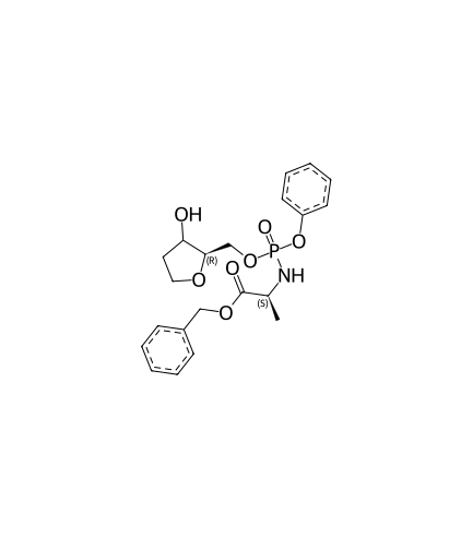 C[C@H](NP(=O)(OC[C@H]1OCCC1O)Oc1ccccc1)C(=O)OCc1ccccc1